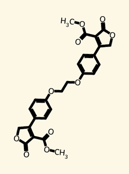 COC(=O)C1=C(c2ccc(OCCOc3ccc(C4=C(C(=O)OC)C(=O)OC4)cc3)cc2)COC1=O